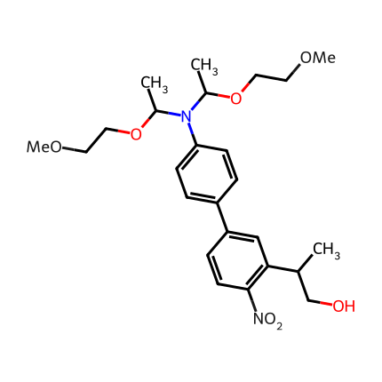 COCCOC(C)N(c1ccc(-c2ccc([N+](=O)[O-])c(C(C)CO)c2)cc1)C(C)OCCOC